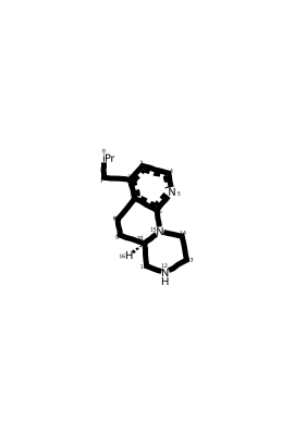 CC(C)Cc1ccnc2c1CC[C@@H]1CNCCN21